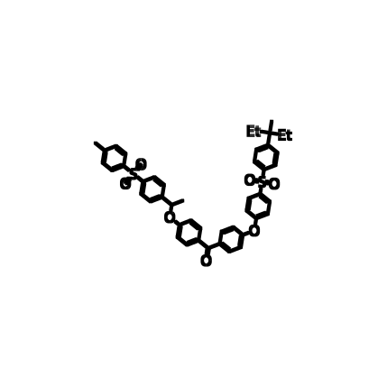 CCC(C)(CC)c1ccc(S(=O)(=O)c2ccc(Oc3ccc(C(=O)c4ccc(OC(C)c5ccc(S(=O)(=O)c6ccc(C)cc6)cc5)cc4)cc3)cc2)cc1